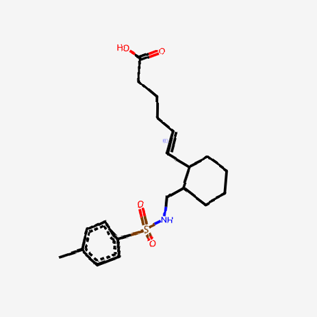 Cc1ccc(S(=O)(=O)NCC2CCCCC2/C=C/CCCC(=O)O)cc1